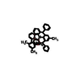 Cc1cc(C)c(C2=CC=CC3=CN(c4c(C(c5ccccc5)c5ccccc5)cc(C)cc4C(c4ccccc4)c4ccccc4)[CH]([AgH][Cl])N32)c(C)c1